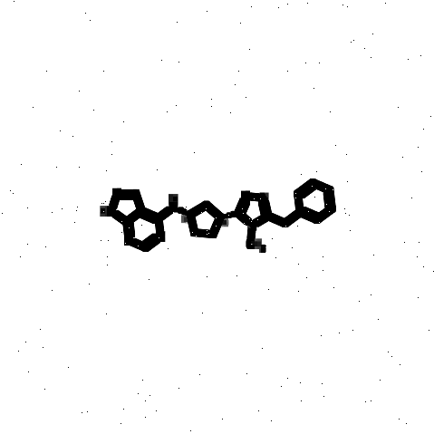 Cn1c(Cc2ccccc2)nnc1[C@@H]1CC[C@H](Nc2ncnc3[nH]ncc23)C1